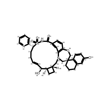 O=C1NS(=O)(=O)[C@@H](c2ccccn2)CC/C=C/[C@H](O)[C@@H]2CC[C@H]2CN2C[C@@]3(CCCc4cc(Cl)ccc43)COc3ccc1cc32